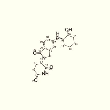 O=C1CCC(N2Cc3cc(N[C@@H]4CCCC[C@H]4O)ccc3C2=O)C(=O)N1